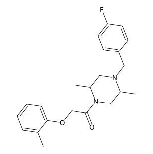 Cc1ccccc1OCC(=O)N1CC(C)N(Cc2ccc(F)cc2)CC1C